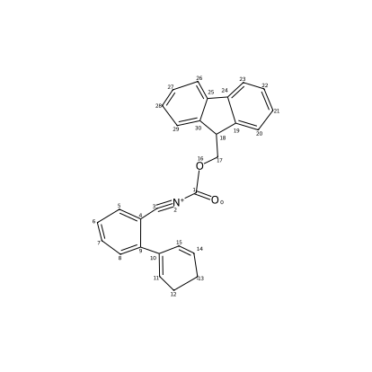 O=C([N+]#Cc1ccccc1C1=CC[CH]C=C1)OCC1c2ccccc2-c2ccccc21